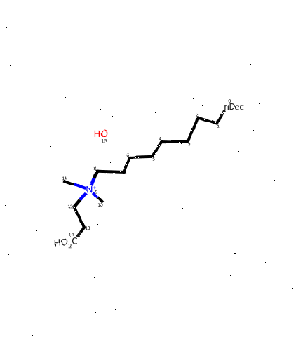 CCCCCCCCCCCCCCCCCC[N+](C)(C)CCC(=O)O.[OH-]